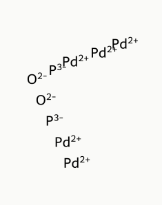 [O-2].[O-2].[P-3].[P-3].[Pd+2].[Pd+2].[Pd+2].[Pd+2].[Pd+2]